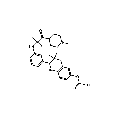 CN1CCN(C(=O)C(C)(C)Nc2cccc(C3Nc4ccc(OC(=O)O)cc4CC3(C)C)c2)CC1